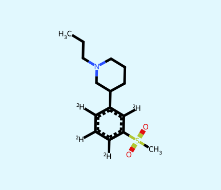 [2H]c1c([2H])c(C2CCCN(CCC)C2)c([2H])c(S(C)(=O)=O)c1[2H]